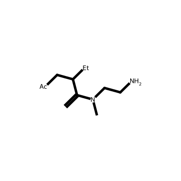 C=C(C(CC)CC(C)=O)N(C)CCN